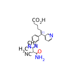 CN(C)C(=Nc1cccc(/C(=C\CCCC(=O)O)c2cccnc2)c1)C(C#N)C(N)=O